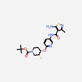 Cc1nsc(N)c1C(=O)Nc1ccc(O[C@H]2CCN(C(=O)OC(C)(C)C)C[C@H]2F)nc1